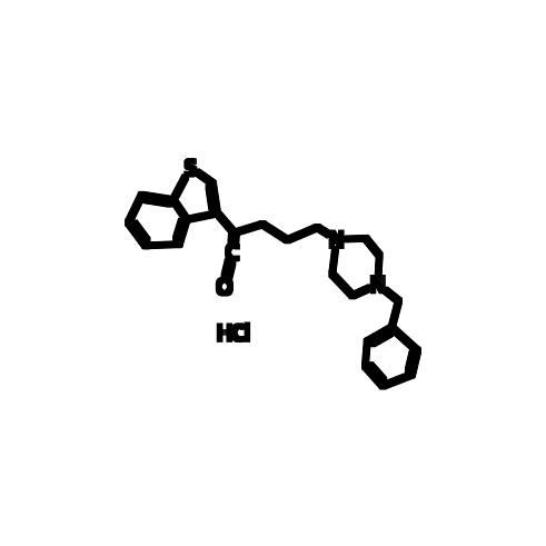 Cl.O=C=C(CCCN1CCN(Cc2ccccc2)CC1)c1csc2ccccc12